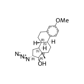 COc1ccc2c(c1)CC[C@@H]1[C@@H]2CC[C@]2(C)[C@@H](O)[C@H](N=[N+]=[N-])C[C@@H]12